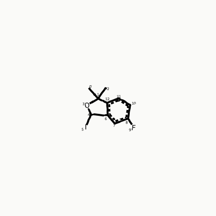 CC1(C)OC(I)c2cc(F)ccc21